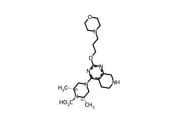 C[C@@H]1CN(c2nc(OCCCN3CCOCC3)nc3c2CCNC3)C[C@H](C)N1C(=O)O